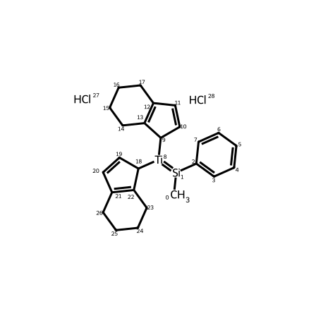 C[Si](c1ccccc1)=[Ti]([CH]1C=CC2=C1CCCC2)[CH]1C=CC2=C1CCCC2.Cl.Cl